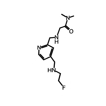 CN(C)C(=O)CNCc1cc(CNCCF)ccn1